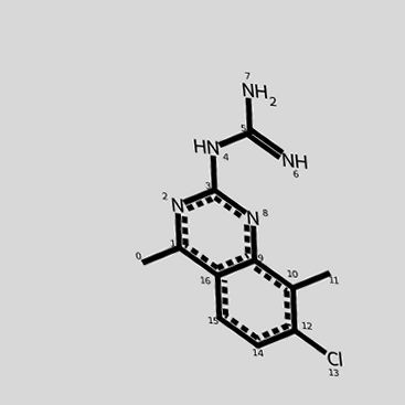 Cc1nc(NC(=N)N)nc2c(C)c(Cl)ccc12